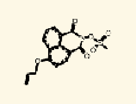 C=CCOc1ccc2c3c(cccc13)C(=O)N(OS(C)(=O)=O)C2=O